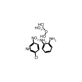 Cl.N.Nc1ccccc1N.O=S(=O)(O)OO.O=[N+]([O-])c1ccc(Cl)cc1